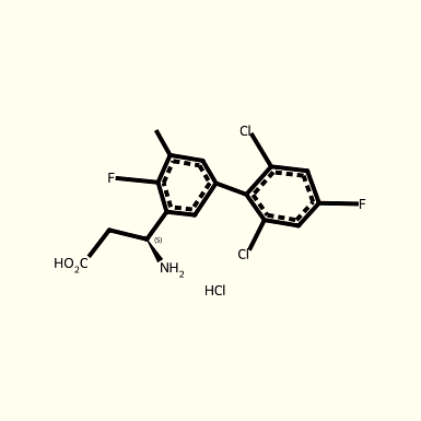 Cc1cc(-c2c(Cl)cc(F)cc2Cl)cc([C@@H](N)CC(=O)O)c1F.Cl